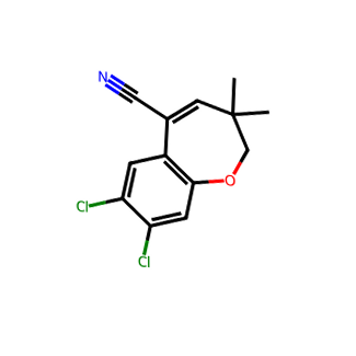 CC1(C)C=C(C#N)c2cc(Cl)c(Cl)cc2OC1